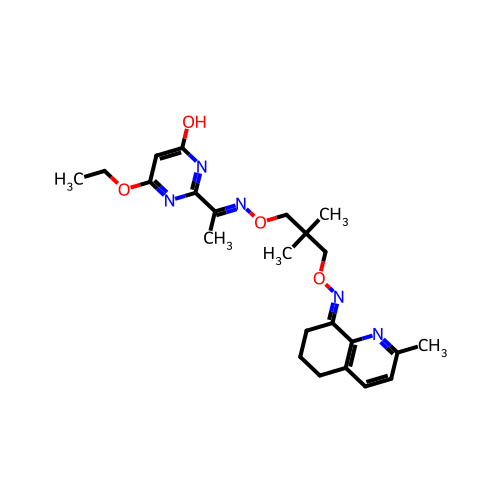 CCOc1cc(O)nc(/C(C)=N/OCC(C)(C)CO/N=C2\CCCc3ccc(C)nc32)n1